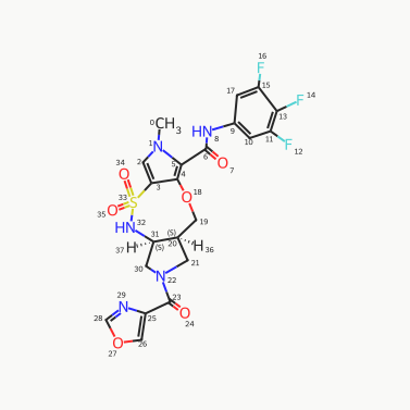 Cn1cc2c(c1C(=O)Nc1cc(F)c(F)c(F)c1)OC[C@H]1CN(C(=O)c3cocn3)C[C@H]1NS2(=O)=O